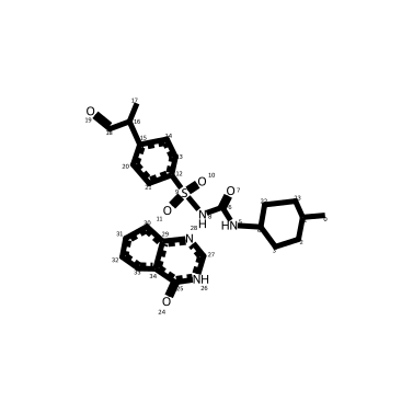 CC1CCC(NC(=O)NS(=O)(=O)c2ccc(C(C)C=O)cc2)CC1.O=c1[nH]cnc2ccccc12